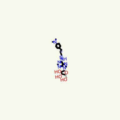 CN(C)c1ccc(/C=C/C=N/Nc2ncnc3c2ncn3[C@@H]2O[C@H](CO)C(O)C2O)cc1